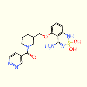 NC1=NS(O)(O)Nc2cccc(OCC3CCCN(C(=O)c4ccnnc4)C3)c21